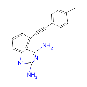 Cc1ccc(C#Cc2cccc3nc(N)nc(N)c23)cc1